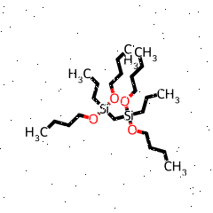 CCCCO[Si](CCC)(C[Si](CCC)(OCCCC)OCCCC)OCCCC